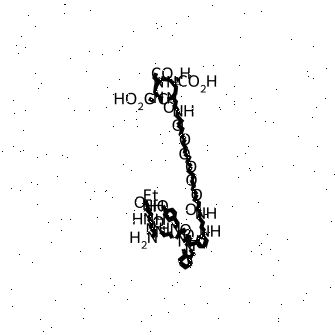 CCC(=O)NCCNC(=O)/N=C(/N)NCCC[C@@H](NC(=O)[C@H](c1cccc(NCCCNC(=O)CCOCCOCCOCCOCCOCCOCCNC(=O)CN2CCN(CC(=O)O)CCN(CC(=O)O)CCN(CC(=O)O)CC2)c1)N1Cc2ccccc2C1)C(=O)NCc1ccc(O)cc1